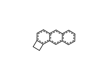 c1ccc2cc3c4c(ccc3cc2c1)CC4